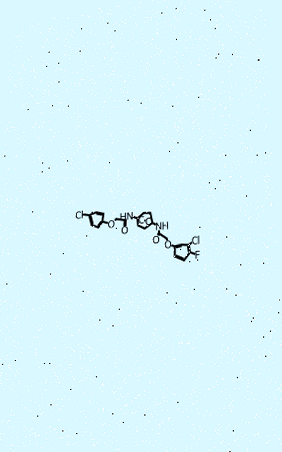 O=C(COc1ccc(Cl)cc1)NC12CCC(NC(=O)COc3ccc(F)c(Cl)c3)(CC1)CC2